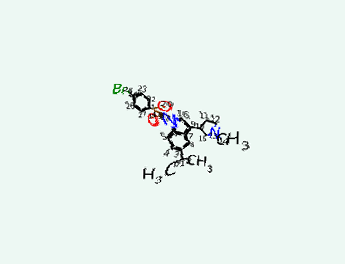 CC(C)c1ccc2c(c1)c(C1CCN(C)C1)cn2S(=O)(=O)c1ccc(Br)cc1